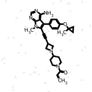 C=CC(=O)N1CCC(N2CC(C#Cc3c(-c4ccc(OC5(C)CC5)cc4)c4c(N)ncnc4n3C)C2)CC1